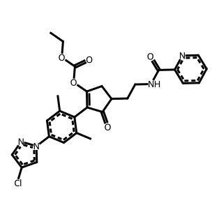 CCOC(=O)OC1=C(c2c(C)cc(-n3cc(Cl)cn3)cc2C)C(=O)C(CCNC(=O)c2ccccn2)C1